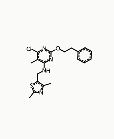 Cc1nc(C)c(CNc2nc(OCCc3ccccc3)nc(Cl)c2C)s1